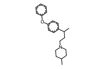 CC1CCN(CCC(C)c2ccc(Oc3ccccc3)cc2)CC1